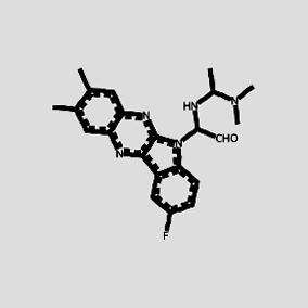 Cc1cc2nc3c4cc(F)ccc4n(C(C=O)NC(C)N(C)C)c3nc2cc1C